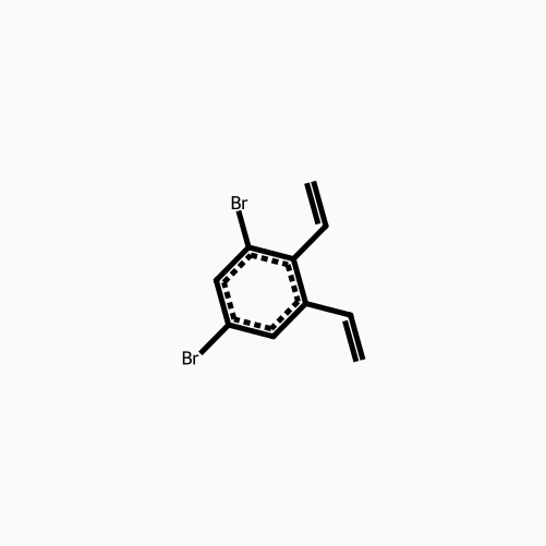 C=Cc1cc(Br)cc(Br)c1C=C